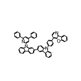 c1ccc(-c2cc(-c3ccccc3)nc(-n3c4ccccc4c4ccc(-c5ccc6c(c5)c5ccccc5n6-c5ccc(-c6ccnc7c6oc6ccccc67)cc5)cc43)c2)cc1